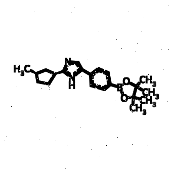 C[C@@H]1CC[C@H](c2ncc(-c3ccc(B4OC(C)(C)C(C)(C)O4)cc3)[nH]2)C1